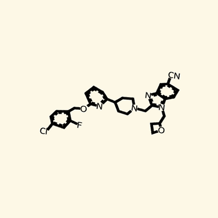 N#Cc1ccc2c(c1)nc(CN1CCC(c3cccc(OCc4ccc(Cl)cc4F)n3)CC1)n2CC1CCO1